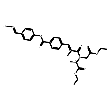 CCOC(=O)CN(C(=O)/C(C)=C/c1ccc(C(=O)Oc2ccc(C=NN)cc2)cc1)[C@H](C)C(=O)OCC